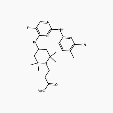 COC(=O)CCN1C(C)(C)CC(Nc2nc(Nc3ccc(C)c(C#N)c3)ncc2F)CC1(C)C